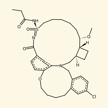 CCC(=O)N[S@]1(=O)=NC(=O)c2ccc3c(c2)N(Cc2ccc(Cl)cc2CCCCO3)C[C@@H]2CC[C@H]2[C@@H](OC)CCCCC1